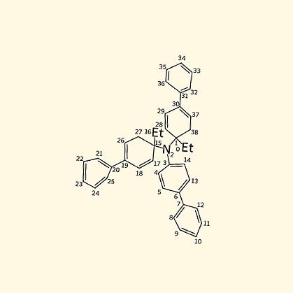 CCC1(N(c2ccc(-c3ccccc3)cc2)C2(CC)C=CC(c3ccccc3)=CC2)C=CC(c2ccccc2)=CC1